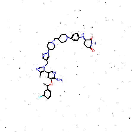 Cc1ncn(Cc2cnn(C3CCN(CC4CCN(c5ccc(NC6CCC(=O)NC6=O)cc5)CC4)CC3)c2)c1-c1cnc(N)c(O[C@H](C)c2cccc(F)c2)c1